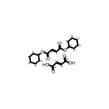 O=C(/C=C/C(=O)OC1CCCCC1)OC1CCCCC1.O=C(O)/C=C/C(=O)O